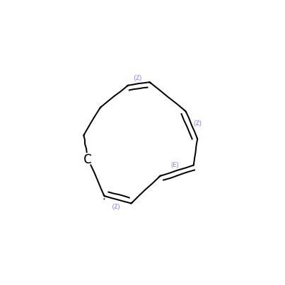 [C]1=C/C=C/C=C\C=C/CCC\1